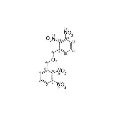 O=[N+]([O-])c1cccc(COCc2cccc([N+](=O)[O-])c2[N+](=O)[O-])c1[N+](=O)[O-]